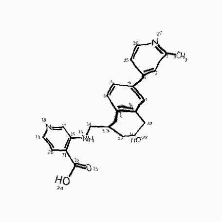 Cc1cc(-c2ccc3c(c2)CCCC3CNc2cnccc2C(=O)O)ccn1.Cl